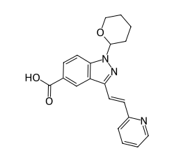 O=C(O)c1ccc2c(c1)c(C=Cc1ccccn1)nn2C1CCCCO1